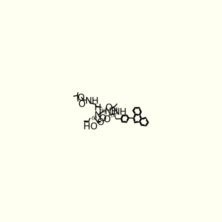 C=CC[C@H](NC(=O)[C@H](CCCCNC(=O)OC(C)(C)C)NC(=O)[C@H](Cc1ccc(-c2cc3ccccc3c3ccccc23)cc1)NC(C)=O)C(=O)O